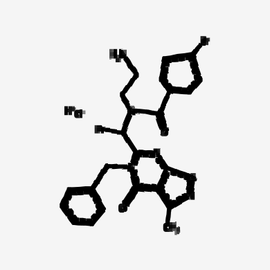 Cc1nsc2nc(C(C(C)C)N(CCN)C(=O)c3ccc(Br)cc3)n(Cc3ccccc3)c(=O)c12.[Cl-].[H+]